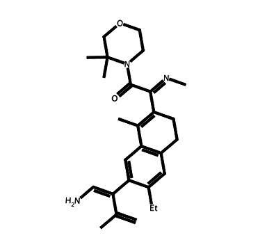 C=C(C)/C(=C\N)c1cc2c(cc1CC)CCC(/C(=N\C)C(=O)N1CCOCC1(C)C)=C2C